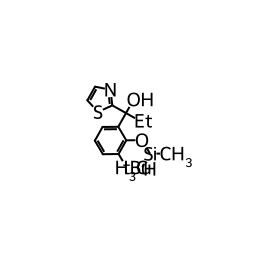 CCC(O)(c1nccs1)c1cccc(C(C)(C)C)c1O[SiH](C)C